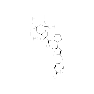 CC1(C)CC(C)(C)CC(O)(C(F)(F)C(=O)N2CCC[C@H]2c2cc(Cn3ccc(=O)nc3)on2)C1